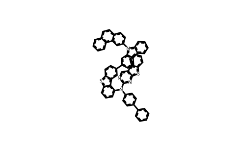 c1ccc(-c2ccc(N(c3ncc4c(n3)sc3ccccc34)c3cccc4sc5ccc(-c6ccc7c8ccccc8n(-c8ccc9ccc%10ccccc%10c9c8)c7c6)cc5c34)cc2)cc1